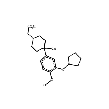 CCOC(=O)CN1CCC(C#N)(c2ccc(OCC)c(OC3CCCC3)c2)CC1